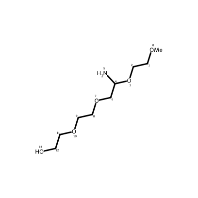 COCCOC(N)COCCOCCO